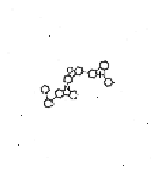 c1ccc(-c2ccccc2-c2ccc3c(c2)c2ccccc2n3-c2ccc3oc4ccc(-c5ccc6c(c5)c5ccccc5n6-c5ccccc5)cc4c3c2)cc1